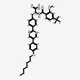 CCCCCCCOc1ccc(-c2cnc(-c3ccc(C[C@H](NC(=O)c4ccc(C(C)(C)C)cc4OC)C(=O)O)cc3)nc2)cc1